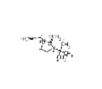 C#CCN1CCN(C(C)(C)C)C1=C